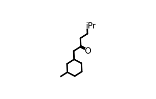 CC(C)CCC(=O)CC1CCCC(C)C1